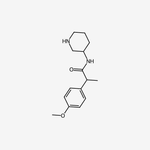 COc1ccc(C(C)C(=O)NC2CCCNC2)cc1